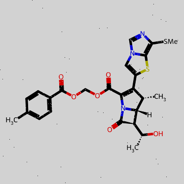 CSc1ncn2cc(C3=C(C(=O)OCOC(=O)c4ccc(C)cc4)N4C(=O)[C@H]([C@@H](C)O)[C@H]4[C@H]3C)sc12